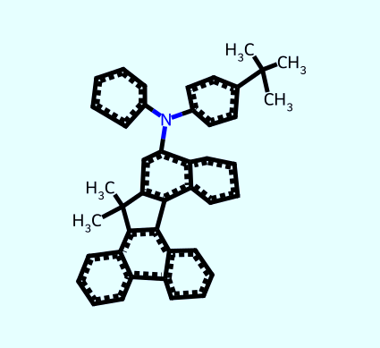 CC(C)(C)c1ccc(N(c2ccccc2)c2cc3c(c4ccccc24)-c2c(c4ccccc4c4ccccc24)C3(C)C)cc1